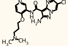 CN(C)CCCOc1ccncc1NC(=O)c1c(N)nn2cc(Cl)cnc12